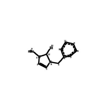 CCCCN1C=CN(Cc2ccccc2)C1CC